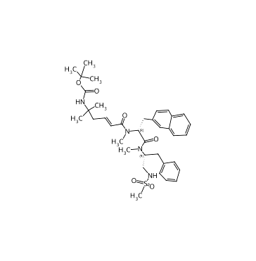 CN(C(=O)[C@@H](Cc1ccc2ccccc2c1)N(C)C(=O)C=CCC(C)(C)NC(=O)OC(C)(C)C)[C@@H](CNS(C)(=O)=O)Cc1ccccc1